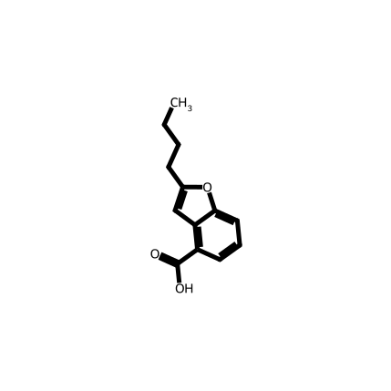 CCCCc1cc2c(C(=O)O)cccc2o1